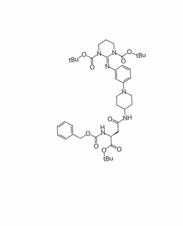 CC(C)(C)OC(=O)[C@H](CC(=O)NC1CCN(c2cccc(N=C3N(C(=O)OC(C)(C)C)CCCN3C(=O)OC(C)(C)C)c2)CC1)NC(=O)OCc1ccccc1